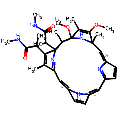 CNC(=O)C(C)C1=C(C)C2=NC1(C(C)C(=O)NC)C(C)C1(OC)NC(C)(/C=C3/C=CC(=N3)/C=c3/cc/c([nH]3)=C/2)C(OC)=C1C